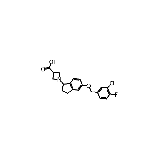 O=C(O)C1CN(C2CCc3cc(OCc4ccc(F)c(Cl)c4)ccc32)C1